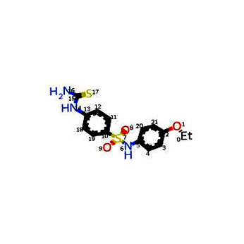 CCOc1ccc(NS(=O)(=O)c2ccc(NC(N)=S)cc2)cc1